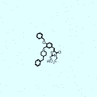 O=C(O)CN1C(=O)C(=Cc2ccc(OCc3ccccc3)c(CN3CCC(Cc4ccccc4)CC3)c2)SC1=S